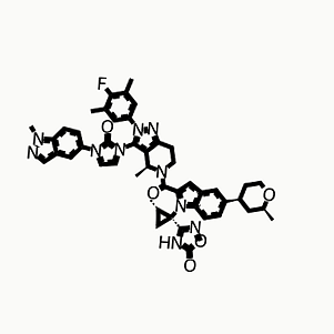 Cc1cc(-n2nc3c(c2-n2ccn(-c4ccc5c(cnn5C)c4)c2=O)[C@H](C)N(C(=O)c2cc4cc([C@H]5CCO[C@@H](C)C5)ccc4n2[C@@]2(c4noc(=O)[nH]4)C[C@@H]2C)CC3)cc(C)c1F